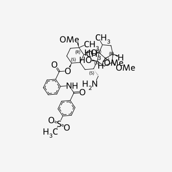 COC1C[C@](O)([C@H](CN)CC2C(C)[C@](C)(OC)CC[C@@H]2OC(=O)c2ccccc2NC(=O)c2ccc(S(C)(=O)=O)cc2)[C@]2(O)C(C)C[C@H]1[C@@H]2OC